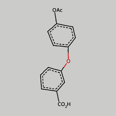 CC(=O)Oc1ccc(Oc2cccc(C(=O)O)c2)cc1